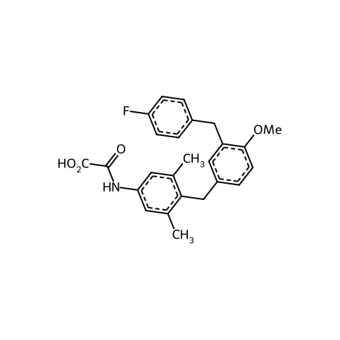 COc1ccc(Cc2c(C)cc(NC(=O)C(=O)O)cc2C)cc1Cc1ccc(F)cc1